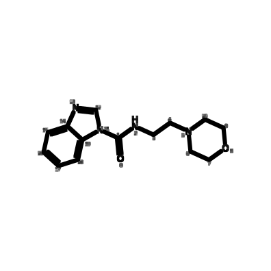 O=C(NCCN1CCOCC1)n1cnc2ccccc21